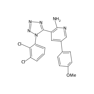 COc1ccc(-c2cnc(N)c(-c3nnnn3-c3cccc(Cl)c3Cl)c2)cc1